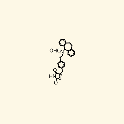 O=CN(CCc1ccc(C[C@H]2SC(=O)NC2=O)cc1)C1c2ccccc2CCc2ccccc21